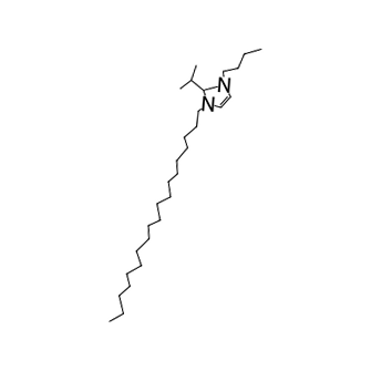 CCCCCCCCCCCCCCCCCCCN1C=CN(CCCC)C1C(C)C